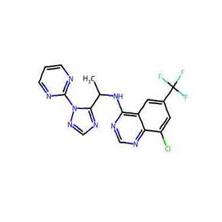 CC(Nc1ncnc2c(Cl)cc(C(F)(F)F)cc12)c1ncnn1-c1ncccn1